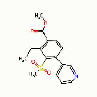 CCc1c(C(=O)OC)ccc(-c2cccnc2)c1S(C)(=O)=O